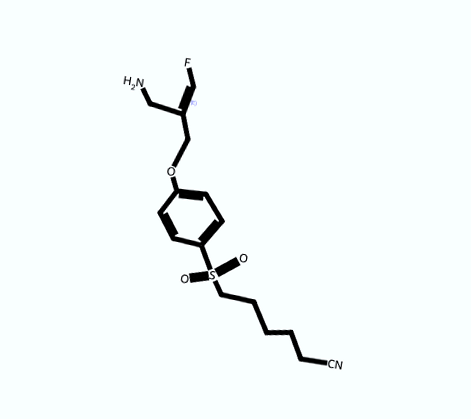 N#CCCCCCS(=O)(=O)c1ccc(OC/C(=C/F)CN)cc1